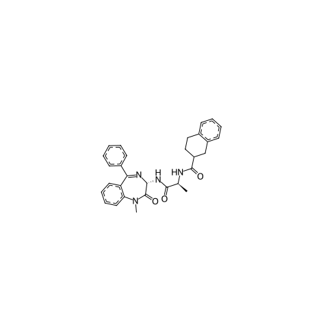 C[C@H](NC(=O)C1CCc2ccccc2C1)C(=O)N[C@H]1N=C(c2ccccc2)c2ccccc2N(C)C1=O